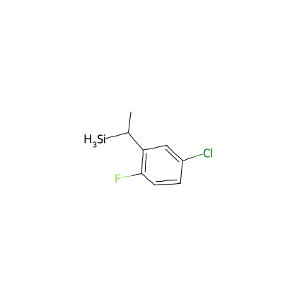 CC([SiH3])c1cc(Cl)ccc1F